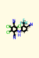 N#Cc1ccc(Nc2c(Cl)c(C#N)c(Cl)c(Cl)c2C#N)cc1C(F)(F)F